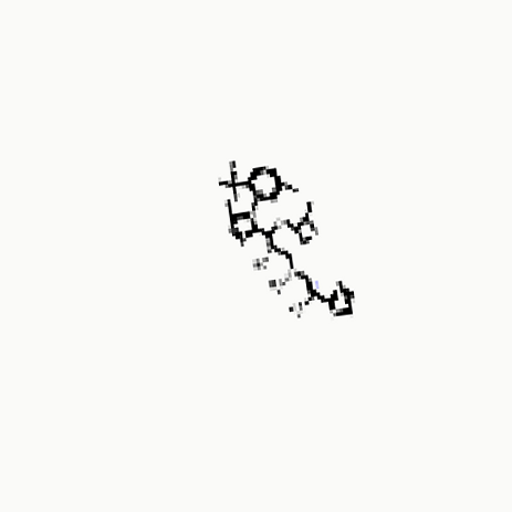 Cc1nnc(C(OC2COC2C)[C@@H](O)CN(N)/C=C(\N)c2nccs2)n1-c1cc(Cl)ccc1C(F)(F)F